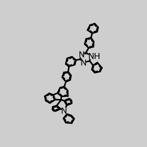 c1ccc(-c2ccc(C3=NC(c4cccc(-c5ccc(-c6ccc7c(c6)-c6ccccc6C76c7ccccc7N(c7ccccc7)c7ccccc76)cc5)c4)=NC(c4ccccc4)N3)cc2)cc1